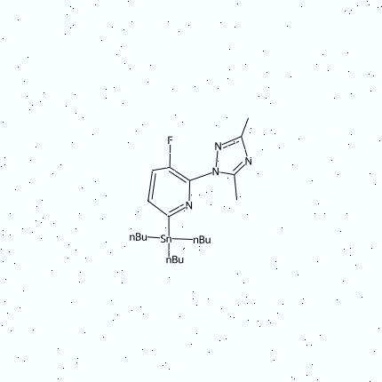 CCC[CH2][Sn]([CH2]CCC)([CH2]CCC)[c]1ccc(F)c(-n2nc(C)nc2C)n1